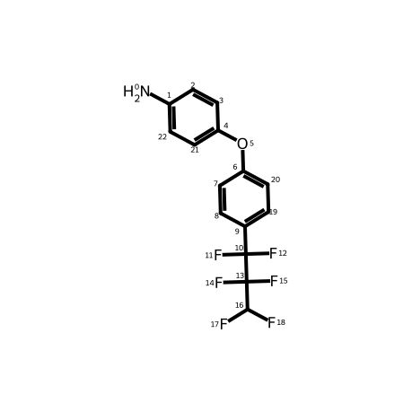 Nc1ccc(Oc2ccc(C(F)(F)C(F)(F)C(F)F)cc2)cc1